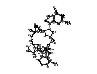 Nc1nc2c(nnn2[C@@H]2O[C@@H]3COP(=O)(S)O[C@H]4[C@H]5OC[C@]4(COP(=O)(S)O[C@@H]2C3)O[C@H]5n2nnc3c(N)ncnc32)c(=O)[nH]1